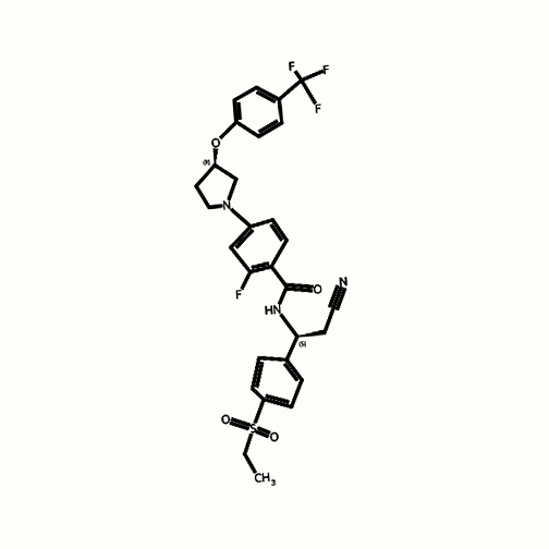 CCS(=O)(=O)c1ccc([C@H](CC#N)NC(=O)c2ccc(N3CC[C@@H](Oc4ccc(C(F)(F)F)cc4)C3)cc2F)cc1